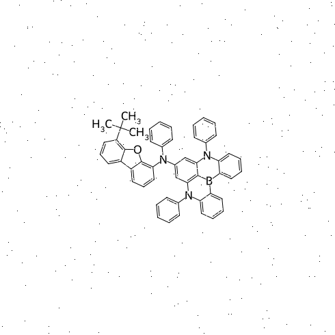 CC(C)(C)c1cccc2c1oc1c(N(c3ccccc3)c3cc4c5c(c3)N(c3ccccc3)c3ccccc3B5c3ccccc3N4c3ccccc3)cccc12